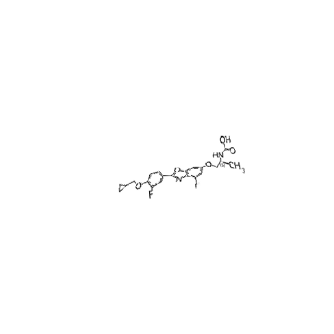 C[C@@H](COc1cc(F)c2nc(-c3ccc(OCC4CC4)c(F)c3)oc2c1)NC(=O)O